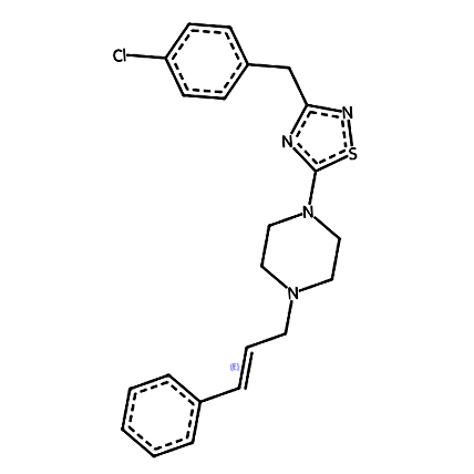 Clc1ccc(Cc2nsc(N3CCN(C/C=C/c4ccccc4)CC3)n2)cc1